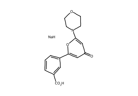 O=C(O)c1cccc(-c2cc(=O)cc(N3CCOCC3)o2)c1.[NaH]